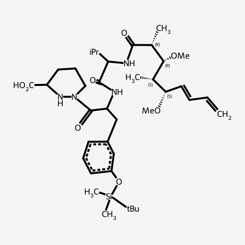 C=CC=C[C@H](OC)[C@H](C)[C@@H](OC)[C@@H](C)C(=O)NC(C(=O)NC(Cc1cccc(O[Si](C)(C)C(C)(C)C)c1)C(=O)N1CCCC(C(=O)O)N1)C(C)C